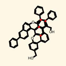 OCc1ccc(Oc2ccc3cc(-c4ccccc4)ccc3c2-c2c(Oc3ccc(CO)cc3-c3ccccc3)ccc3cc(-c4ccccc4)ccc23)c(-c2ccccc2)c1